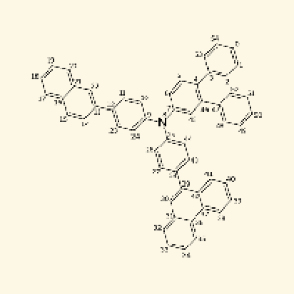 c1ccc(-c2ccc(N(c3ccc(-c4ccc5ccccc5c4)cc3)c3ccc(-c4cc5ccccc5c5ccccc45)cc3)cc2-c2ccccc2)cc1